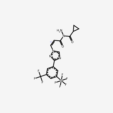 NN(C(=O)/C=C\n1cnc(-c2cc(C(F)(F)F)cc(S(F)(F)(F)(F)F)c2)n1)C(=O)C1CC1